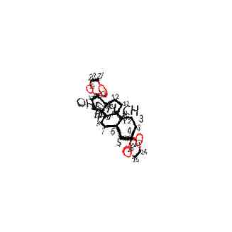 C[C@]12CCC3(CC1=CC[C@@H]1[C@@H]2CC[C@@]2(C=O)[C@H]1CCC21OCCO1)OCCO3